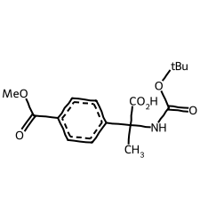 COC(=O)c1ccc(C(C)(NC(=O)OC(C)(C)C)C(=O)O)cc1